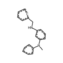 CN(c1ccccc1)c1cccc(NCc2ccccc2)c1